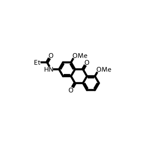 CCC(=O)Nc1cc(OC)c2c(c1)C(=O)c1cccc(OC)c1C2=O